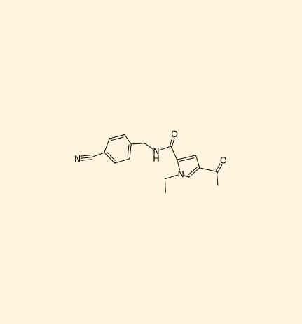 CCn1cc(C(C)=O)cc1C(=O)NCc1ccc(C#N)cc1